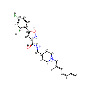 C=C/C=C\C=C(/C)CN1CCC(CNC(=O)c2cc(-c3ccc(F)cc3F)on2)CC1